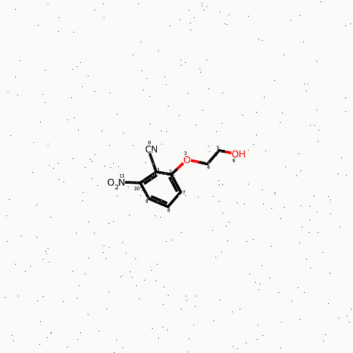 N#Cc1c(OCCO)cccc1[N+](=O)[O-]